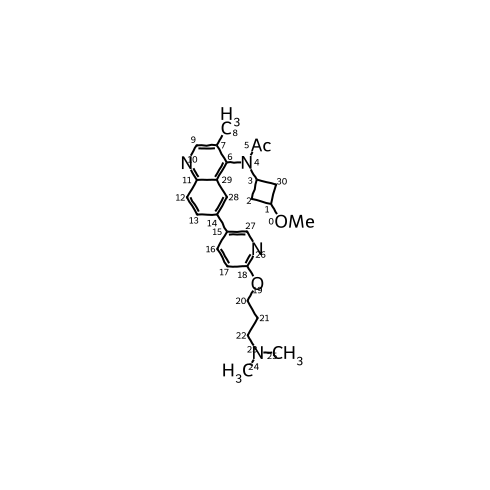 COC1CC(N(C(C)=O)c2c(C)cnc3ccc(-c4ccc(OCCCN(C)C)nc4)cc23)C1